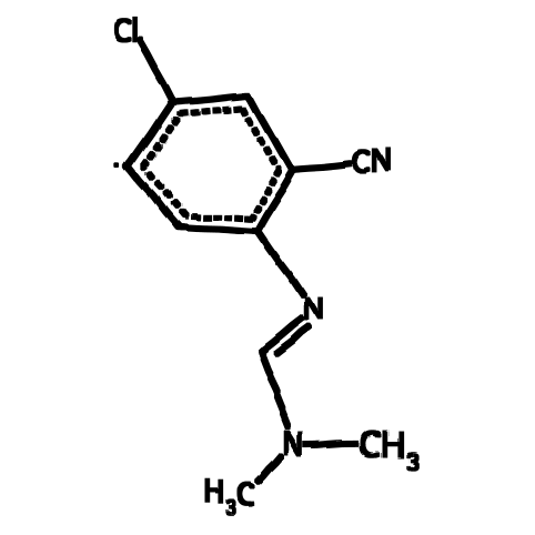 CN(C)C=Nc1c[c]c(Cl)cc1C#N